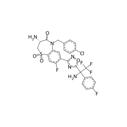 N[C@H]1CS(=O)(=O)c2cc(F)c(-c3noc(C(N)(c4ccc(F)cc4)C(F)(F)F)n3)cc2N(Cc2ccc(Cl)cc2)C1=O